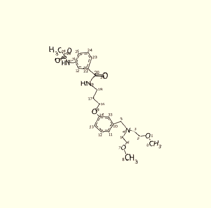 COCCN(CCOC)Cc1cccc(OCCCNC(=O)c2cccc(NS(C)(=O)=O)c2)c1